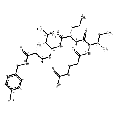 CCC[C@H](NC(=O)[C@@H](NC(=O)CCCC(=O)O)[C@@H](C)CC)C(=O)N[C@H](CN[C@@H](C)C(=O)NCc1ccc(N)cc1)CC(C)C